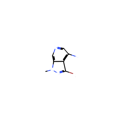 Cn1nc(Br)c2c(N)cncc21